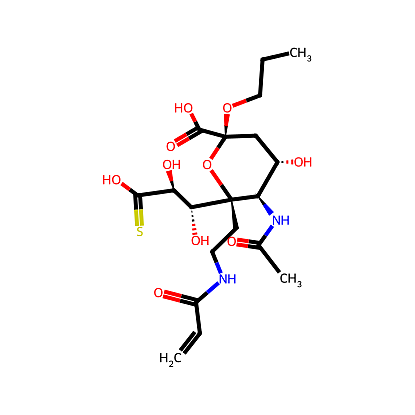 C=CC(=O)NCC[C@@]1([C@H](O)[C@H](O)C(O)=S)O[C@](OCCC)(C(=O)O)C[C@H](O)[C@H]1NC(C)=O